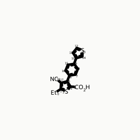 CCc1sc(C(=O)O)c(-c2ccc(-c3ccsc3)cc2)c1C#N